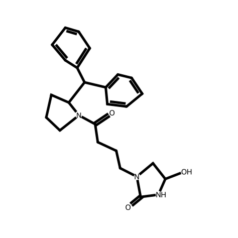 O=C1NC(O)CN1CCCC(=O)N1CCCC1C(c1ccccc1)c1ccccc1